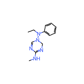 CCN(c1ccccc1)N1C=NC(NC)=NC1